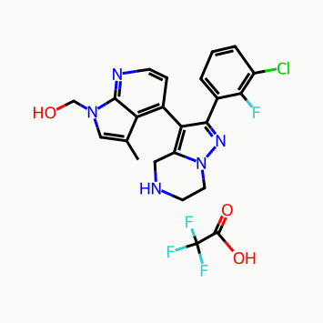 Cc1cn(CO)c2nccc(-c3c(-c4cccc(Cl)c4F)nn4c3CNCC4)c12.O=C(O)C(F)(F)F